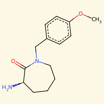 COc1ccc(CN2CCCC[C@@H](N)C2=O)cc1